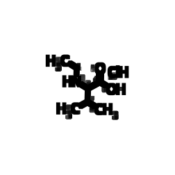 CCNC(C(=O)O)C(C)C.Cl